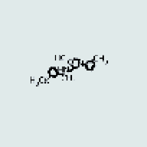 COc1cccc([C@@H](C)NCC2CN(c3cccc(C)c3)CCO2)c1.Cl